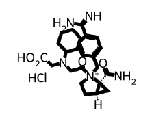 Cl.N=C(N)c1ccc(C[N+]2(C(=O)CN(CC(=O)O)C3CCCCC3)CC[C@@H]3C[C@@]32C(N)=O)cc1